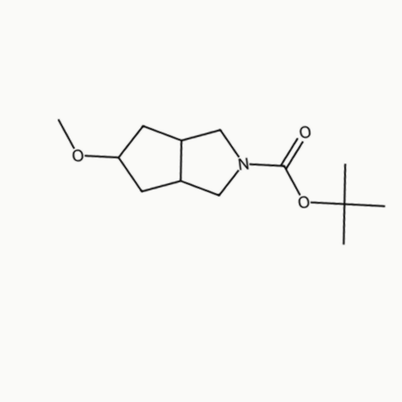 COC1CC2CN(C(=O)OC(C)(C)C)CC2C1